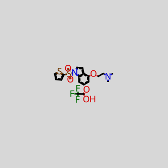 CN(C)CCOc1cccc2c1ccn2S(=O)(=O)c1cccs1.O=C(O)C(F)(F)F